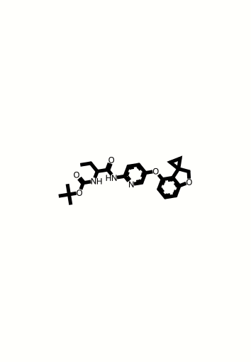 CCC(NC(=O)OC(C)(C)C)C(=O)Nc1ccc(Oc2cccc3c2C2(CC2)CO3)cn1